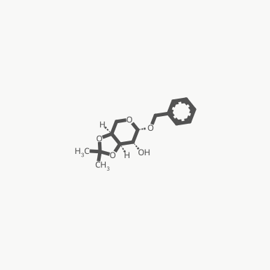 CC1(C)O[C@@H]2[C@@H](O)[C@@H](OCc3ccccc3)OC[C@@H]2O1